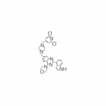 Clc1cc(CN2CCN(Cc3cc4nc(-c5cccc6[nH]ccc56)nc(N5CCOCC5)c4s3)CC2)cc(Cl)n1